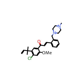 C=CC(C)(C)c1cc(C(=O)C=Cc2ccccc2CN2CCN(C)CC2)c(OC)cc1Cl